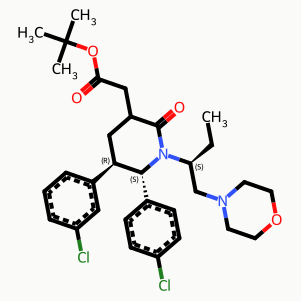 CC[C@@H](CN1CCOCC1)N1C(=O)C(CC(=O)OC(C)(C)C)C[C@H](c2cccc(Cl)c2)[C@H]1c1ccc(Cl)cc1